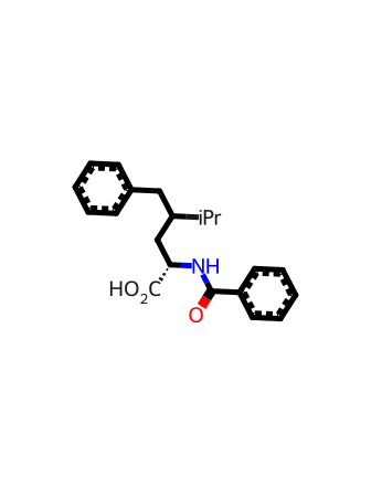 CC(C)C(Cc1ccccc1)C[C@H](NC(=O)c1ccccc1)C(=O)O